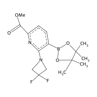 COC(=O)c1ccc(B2OC(C)(C)C(C)(C)O2)c(N2CC(F)(F)C2)n1